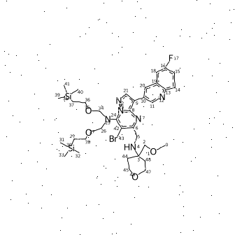 COCC1(NCc2nc3c(-c4cnc5ccc(F)cc5c4)cnn3c(N(COCC[Si](C)(C)C)COCC[Si](C)(C)C)c2Br)CCOCC1